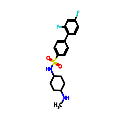 CNC1CCC(NS(=O)(=O)c2ccc(-c3ccc(F)cc3F)cc2)CC1